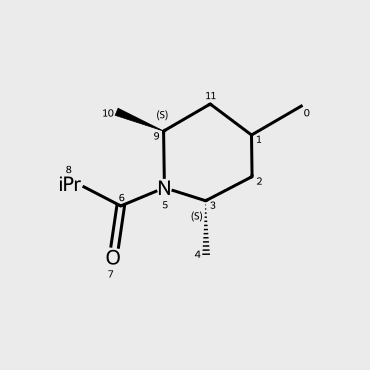 CC1C[C@H](C)N(C(=O)C(C)C)[C@@H](C)C1